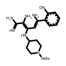 CNN1CCC(NC(/C=C(\N)c2ccccc2N=O)=C(/N)C(=N)N)CC1